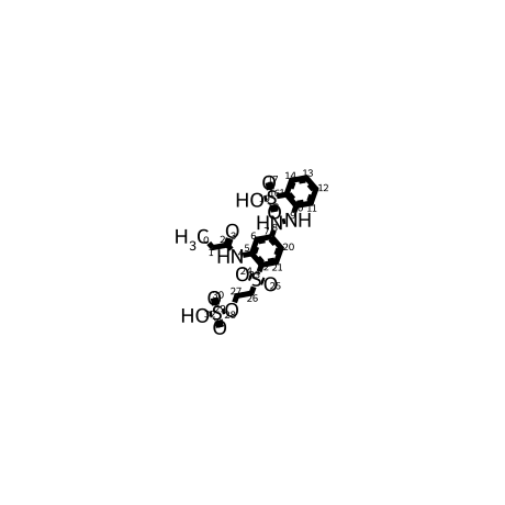 CCC(=O)Nc1cc(NNc2ccccc2S(=O)(=O)O)ccc1S(=O)(=O)CCOS(=O)(=O)O